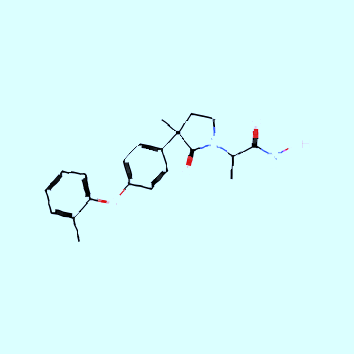 Cc1ccccc1Oc1ccc(C2(C)CCN(C(C)C(=O)NO)C2=O)cc1